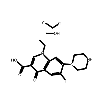 CCn1cc(C(=O)O)c(=O)c2cc(F)c(N3CCNCC3)cc21.CO.ClCCl